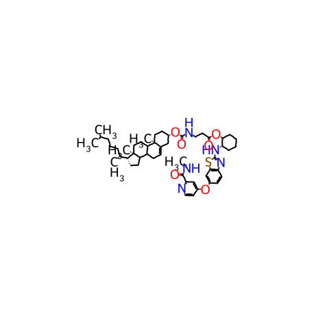 CNC(=O)c1cc(Oc2ccc3nc(N[C@H]4CCCCC4OC(=O)CCNC(=O)O[C@H]4CC[C@@]5(C)C(=CCC6C5CC[C@@]5(C)C6CC[C@@H]5[C@H](C)CCCC(C)C)C4)sc3c2)ccn1